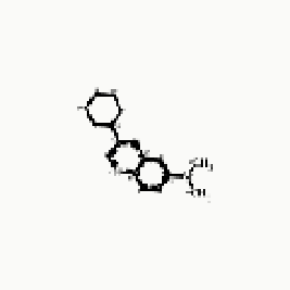 CN(C)c1ccc2ncc(C3CCCCC3)cc2c1